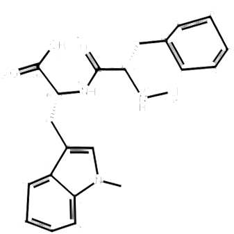 Cn1cc(C[C@@H](NC(=O)[C@H](Cc2ccccc2)NCl)C(=O)O)c2ccccc21